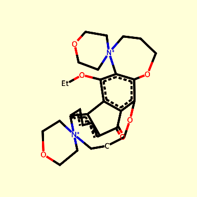 CCOc1c2c3c(c4c1[N+]1(CCCO4)CCOCC1)OCCC[N+]1(CCOCC1)c1cccc(c1-2)C3=O